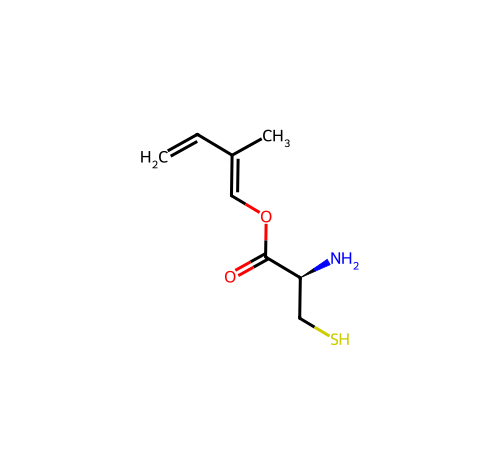 C=CC(C)=COC(=O)[C@@H](N)CS